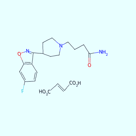 NC(=O)CCCN1CCC(c2noc3cc(F)ccc23)CC1.O=C(O)C=CC(=O)O